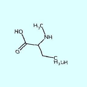 CCC(NC)C(=O)O.[LiH]